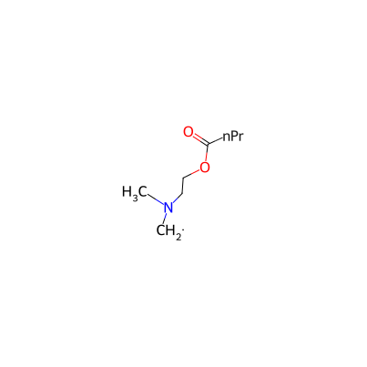 [CH2]CCC(=O)OCCN([CH2])C